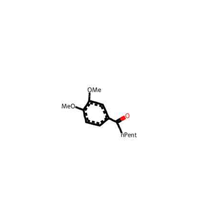 CCCCCC(=O)c1ccc(OC)c(OC)c1